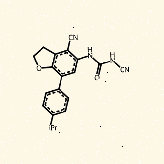 CC(C)c1ccc(-c2cc(NC(=O)NC#N)c(C#N)c3c2OCC3)cc1